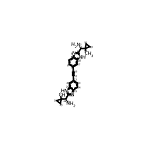 CC1([C@H](N)c2nc3ccc(C#Cc4ccc5nc([C@@H](N)C6(C)CC6)[nH]c5c4)cc3[nH]2)CC1